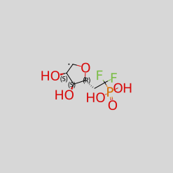 O=P(O)(O)C(F)(F)C[C@H]1O[CH][C@H](O)[C@@H]1O